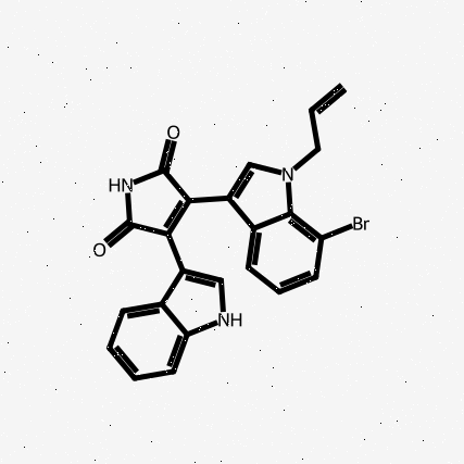 C=CCn1cc(C2=C(c3c[nH]c4ccccc34)C(=O)NC2=O)c2cccc(Br)c21